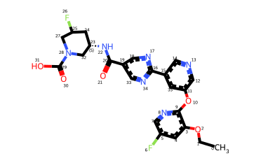 CCOc1cc(F)cnc1Oc1cncc(-c2ncc(C(=O)N[C@H]3CC(F)CN(C(=O)O)C3)cn2)c1